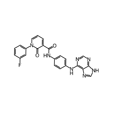 O=C(Nc1ccc(Nc2ncnc3[nH]cnc23)cc1)c1cccn(-c2cccc(F)c2)c1=O